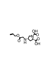 C=CCOC(=O)CN[C@H]1C[C@H](C(=O)O)N(C(=O)O)C1